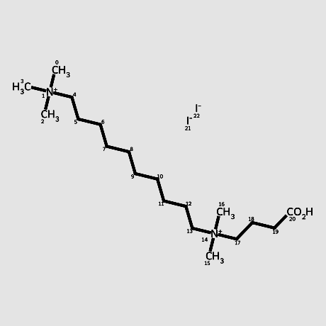 C[N+](C)(C)CCCCCCCCCC[N+](C)(C)CCCC(=O)O.[I-].[I-]